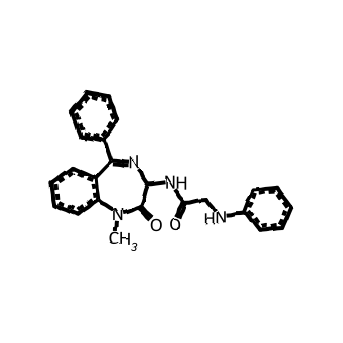 CN1C(=O)C(NC(=O)CNc2ccccc2)N=C(c2ccccc2)c2ccccc21